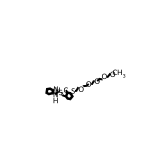 COCCOCCOCCOCCOCCSc1cccc(CSc2nc3ccccc3[nH]2)c1C